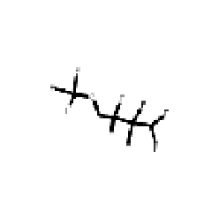 FC(F)C(F)(F)C(F)(F)COC(F)(F)F